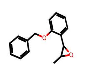 CC1OC1c1ccccc1OCc1ccccc1